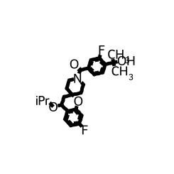 CC(C)OC1CC2(CCN(C(=O)c3ccc(C(C)(C)O)c(F)c3)CC2)Oc2cc(F)ccc21